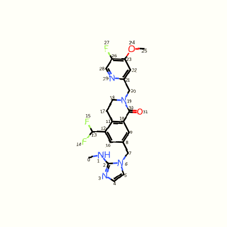 CNc1nccn1Cc1cc2c(c(C(F)F)c1)CCN(Cc1cc(OC)c(F)cn1)C2=O